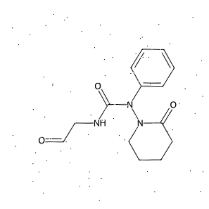 O=[C]CNC(=O)N(c1ccccc1)N1CCCCC1=O